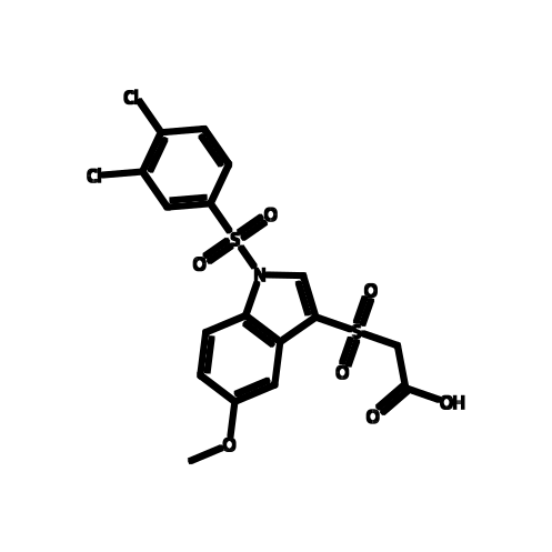 COc1ccc2c(c1)c(S(=O)(=O)CC(=O)O)cn2S(=O)(=O)c1ccc(Cl)c(Cl)c1